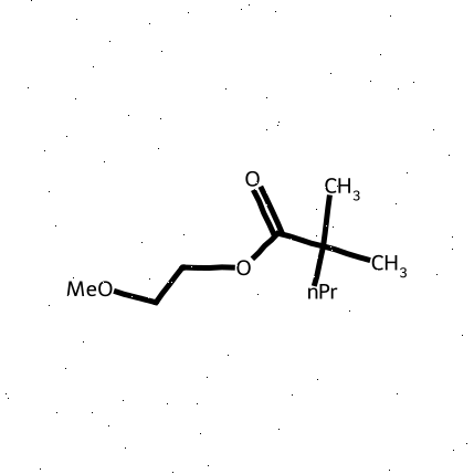 CCCC(C)(C)C(=O)OCCOC